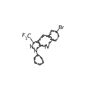 FC(F)(F)c1nn(-c2ccccc2)c2nc3ccc(Br)cc3cc12